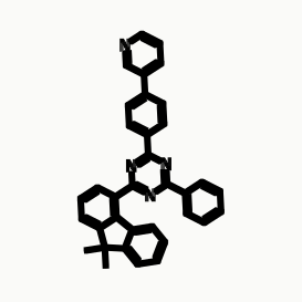 CC1(C)c2ccccc2-c2c(-c3nc(-c4ccccc4)nc(-c4ccc(-c5cccnc5)cc4)n3)cccc21